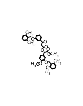 COC(=O)C(OC(=O)CC(=O)c1cccc(OCc2c(C)cccc2C)c1)c1ccc(OC)c(OCc2c(C)cccc2C)c1